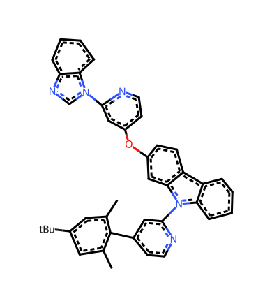 Cc1cc(C(C)(C)C)cc(C)c1-c1ccnc(-n2c3ccccc3c3ccc(Oc4ccnc(-n5cnc6ccccc65)c4)cc32)c1